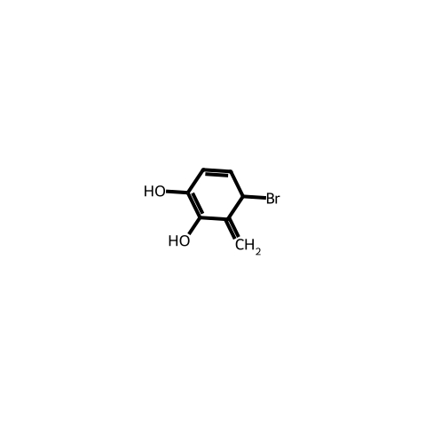 C=C1C(O)=C(O)C=CC1Br